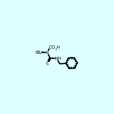 CC(C)(C)N(C(=O)O)C(=S)NCc1ccccc1